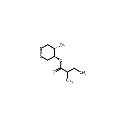 CCC(C)C(=O)O[C@H]1CSSC[C@@H]1O